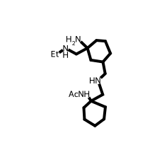 CCNCC1(N)CCCC(CNCC2(NC(C)=O)CCCCC2)C1